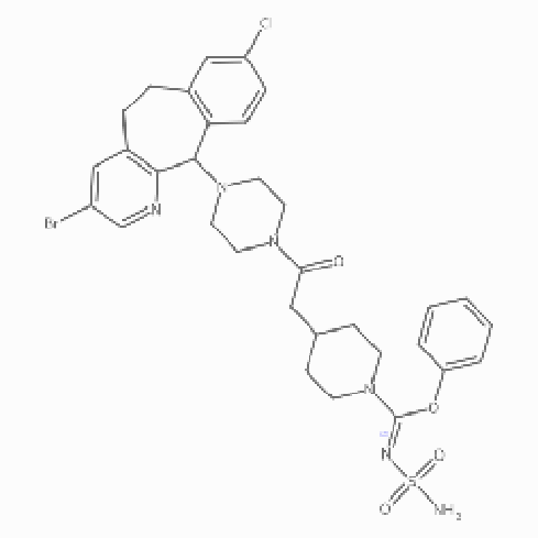 NS(=O)(=O)/N=C(\Oc1ccccc1)N1CCC(CC(=O)N2CCN(C3c4ccc(Cl)cc4CCc4cc(Br)cnc43)CC2)CC1